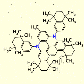 Cc1cc2c3c(c1)n(-c1ccc4c(c1)C(C)(C)CCC4(C)C)c1cc4c(c5cc6c7c(cc(c6c-3c51)n2-c1ccc2c(c1)C(C)(C)CCC2(C)C)C(C)(C)CCC7(C)C)C(C)(C)CCC4(C)C